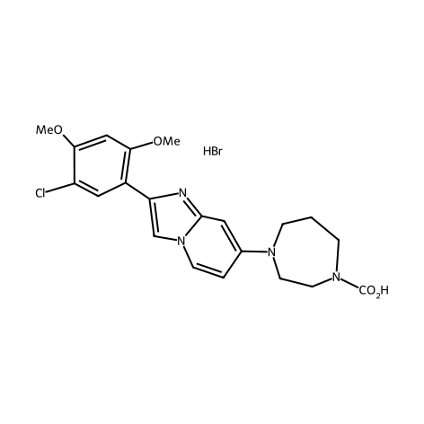 Br.COc1cc(OC)c(-c2cn3ccc(N4CCCN(C(=O)O)CC4)cc3n2)cc1Cl